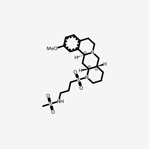 COc1ccc2c(c1)[C@@H]1C[C@@H]3[C@@H](CCCN3S(=O)(=O)CCCNS(C)(=O)=O)CN1CC2